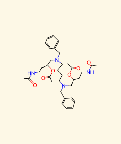 CC(=O)NCC[C@@H](CN(CCCCN(Cc1ccccc1)C[C@H](CCNC(C)=O)OC(C)=O)Cc1ccccc1)OC(C)=O